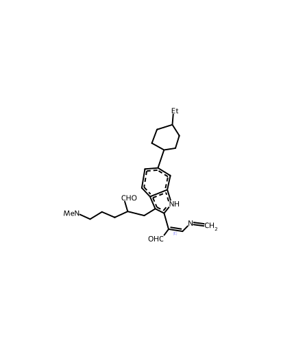 C=N/C=C(/C=O)c1[nH]c2cc(C3CCC(CC)CC3)ccc2c1CC(C=O)CCCNC